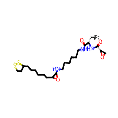 CC(C)C[C@H](NC(=O)[C@@H]1CO1)C(=O)NCCCCCCNC1OC1CCCCCCC1CCSS1